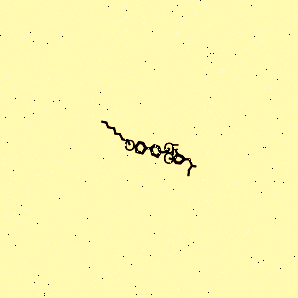 CCCCCCCCOc1ccc(-c2ccc(C(=O)Oc3ccc(CC(C)CC)cc3F)cc2)cc1